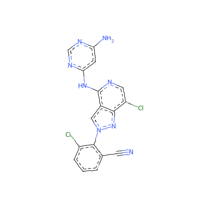 N#Cc1cccc(Cl)c1-n1cc2c(Nc3cc(N)ncn3)ncc(Cl)c2n1